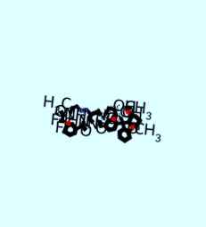 COc1ccccc1C(c1ccccc1)(c1ccccc1OC)C(O)[C@H]1O[C@@H](n2cc(/C=C/CC(C)NC(=O)C(F)(F)F)c(NC(=O)c3ccccc3)nc2=O)C[C@@H]1O